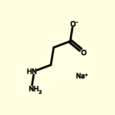 NNCCC(=O)[O-].[Na+]